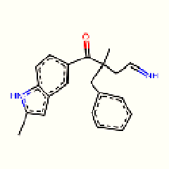 Cc1cc2cc(C(=O)C(C)(CC=N)Cc3ccccc3)ccc2[nH]1